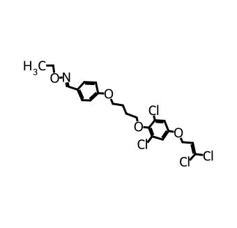 CCON=Cc1ccc(OCCCCOc2c(Cl)cc(OCC=C(Cl)Cl)cc2Cl)cc1